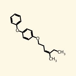 CCC(C)=CCCOc1ccc(Oc2ccccc2)cc1